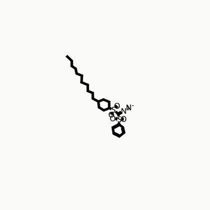 CCCCCCCCCCCC1CCC(S(=O)(=O)C(=[N+]=[N-])S(=O)(=O)c2ccccc2)CC1